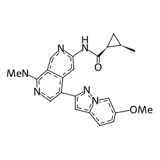 CNc1ncc(-c2cc3ccc(OC)cn3n2)c2cc(NC(=O)[C@H]3C[C@H]3C)ncc12